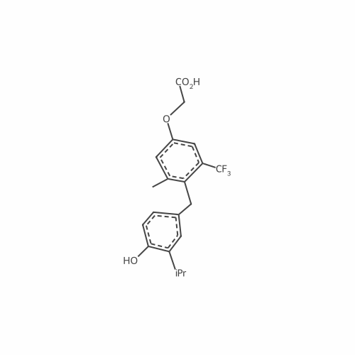 Cc1cc(OCC(=O)O)cc(C(F)(F)F)c1Cc1ccc(O)c(C(C)C)c1